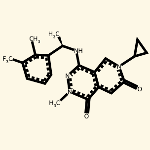 Cc1c([C@@H](C)Nc2nn(C)c(=O)c3cc(=O)n(C4CC4)cc23)cccc1C(F)(F)F